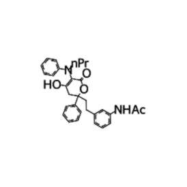 CCCN(C1=C(O)CC(CCc2cccc(NC(C)=O)c2)(c2ccccc2)OC1=O)c1ccccc1